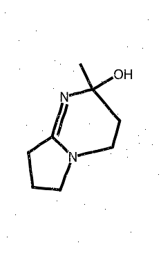 CC1(O)CCN2CCCC2=N1